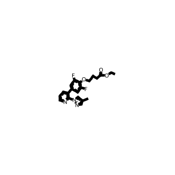 CCOC(=O)CCCOc1c(F)cc(-c2cccnc2-n2cc(C)cn2)cc1F